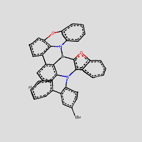 Cc1cc2c3c(c1)N(c1ccc(C(C)(C)C)cc1-c1ccccc1)c1c(oc4ccccc14)B3N1c3ccccc3Oc3cccc-2c31